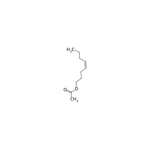 CCC/C=C\CCCOC(C)=O